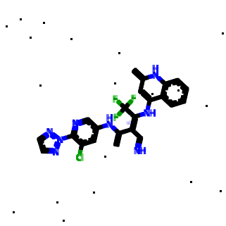 C=C1C=C(N/C(=C(\C=N)C(=C)Nc2cnc(-n3nccn3)c(Cl)c2)C(F)(F)F)c2ccccc2N1